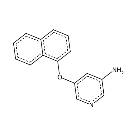 Nc1cncc(Oc2cccc3ccccc23)c1